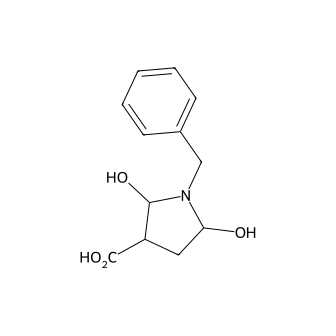 O=C(O)C1CC(O)N(Cc2ccccc2)C1O